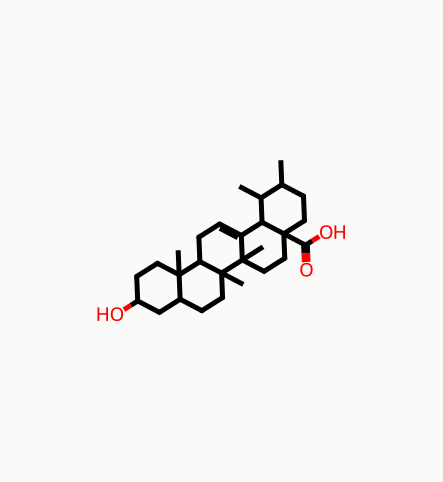 CC1CCC2(C(=O)O)CCC3(C)C(=CCC4C5(C)CCC(O)CC5CCC43C)C2C1C